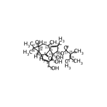 CC1=CC23C(=O)[C@@H](C=C(CO)[C@@H](O)[C@]2(O)[C@H]1OC(=O)C(C)=C(C)C)[C@@H]1C(C)(C)[C@]1(O)CC3C